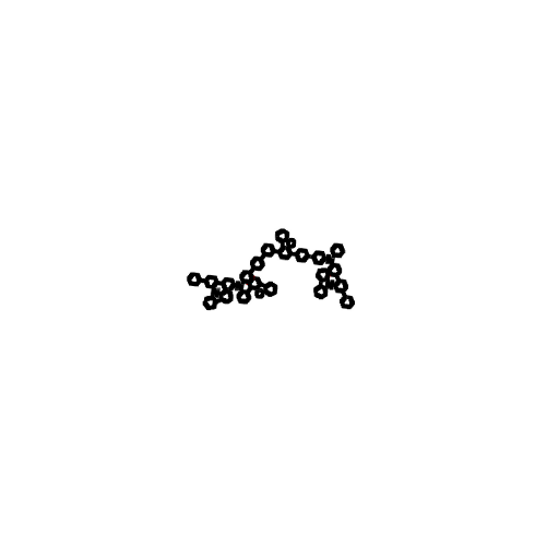 c1ccc(-c2ccc(-c3ccc(N(c4ccccc4)c4ccc(-c5ccc(-c6ccc(-c7cccc(-c8ccc(-c9ccc(N(c%10ccc(-c%11ccc(-c%12ccccc%12)cc%11-n%11c%12ccccc%12c%12ccccc%12%11)cc%10)c%10ccccc%10-c%10cccc%11c%10oc%10ccccc%10%11)cc9)cc8)c7)c7c6oc6ccccc67)cc5)cc4)cc3)c(-n3c4ccccc4c4ccccc43)c2)cc1